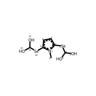 Cn1c([Se]C(O)O)ccc1[Se]C(O)O